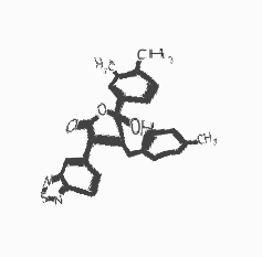 Cc1ccc(CC2=C(c3ccc4nsnc4c3)C(=O)OC2(O)c2ccc(C)c(C)c2)cc1